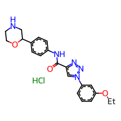 CCOc1cccc(-n2cc(C(=O)Nc3ccc(C4CNCCO4)cc3)nn2)c1.Cl